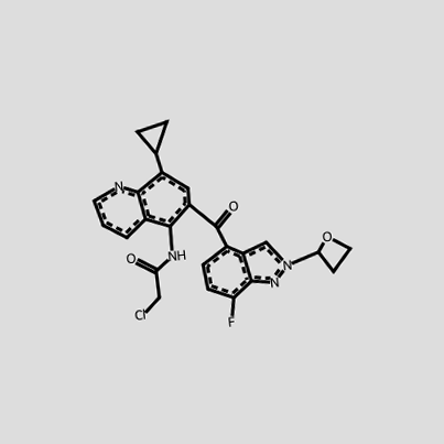 O=C(CCl)Nc1c(C(=O)c2ccc(F)c3nn(C4CCO4)cc23)cc(C2CC2)c2ncccc12